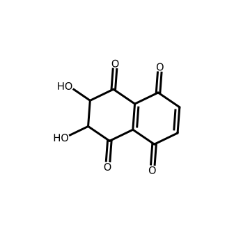 O=C1C=CC(=O)C2=C1C(=O)C(O)C(O)C2=O